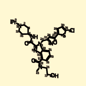 CC(C)N1CCC(NC(=O)c2nc3c(C(=O)N(C)CCO)cccc3n2Cc2cc(-c3ccc(Cl)s3)on2)CC1